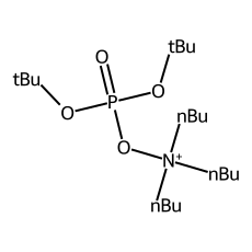 CCCC[N+](CCCC)(CCCC)OP(=O)(OC(C)(C)C)OC(C)(C)C